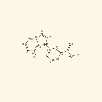 COC(=O)c1ccnc(-n2cnc3cccc(F)c32)c1